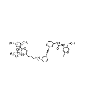 C[C@@H]1C[C@@H](O)CN1C(=O)[C@@H](NC(=O)CCCNCc1cccc(C#Cc2cc(NC(=O)Nc3cc(F)ncc3CO)ccn2)c1)C(C)(C)C